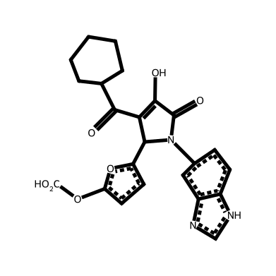 O=C(O)Oc1ccc(C2C(C(=O)C3CCCCC3)=C(O)C(=O)N2c2ccc3[nH]cnc3c2)o1